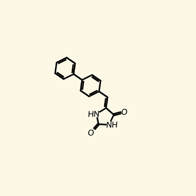 O=C1NC(=O)C(=Cc2ccc(-c3ccccc3)cc2)N1